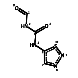 O=CNC(=O)Nc1cnns1